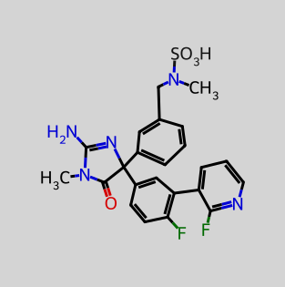 CN1C(=O)C(c2cccc(CN(C)S(=O)(=O)O)c2)(c2ccc(F)c(-c3cccnc3F)c2)N=C1N